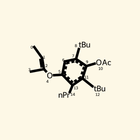 CC=C(C)Oc1cc(C(C)(C)C)c(OC(C)=O)c(C(C)(C)C)c1CCC